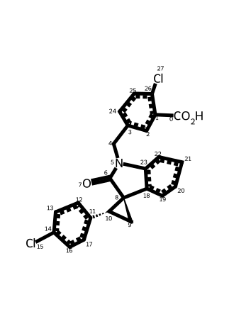 O=C(O)c1cc(CN2C(=O)[C@]3(C[C@@H]3c3ccc(Cl)cc3)c3ccccc32)ccc1Cl